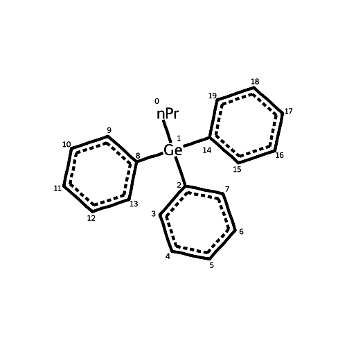 [CH2]C[CH2][Ge]([c]1ccccc1)([c]1ccccc1)[c]1ccccc1